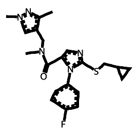 Cc1nn(C)cc1CN(C)C(=O)c1cnc(SCC2CC2)n1-c1ccc(F)cc1